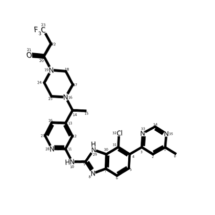 Cc1cc(-c2ccc3nc(Nc4cc(C(C)N5CCN(C(=O)CC(F)(F)F)CC5)ccn4)[nH]c3c2Cl)ncn1